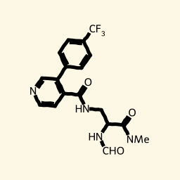 CNC(=O)C(CNC(=O)c1ccncc1-c1ccc(C(F)(F)F)cc1)NC=O